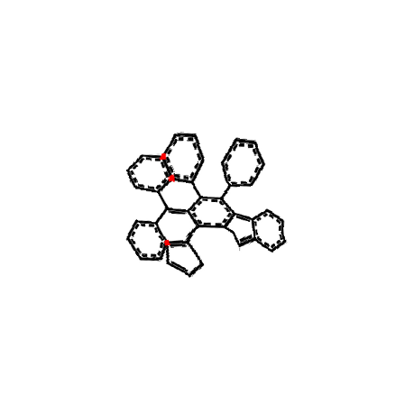 [C]1=c2ccccc2=c2c1c(C1=CC=CC1)c(=C(c1ccccc1)c1ccccc1)c(-c1ccccc1)c2-c1ccccc1